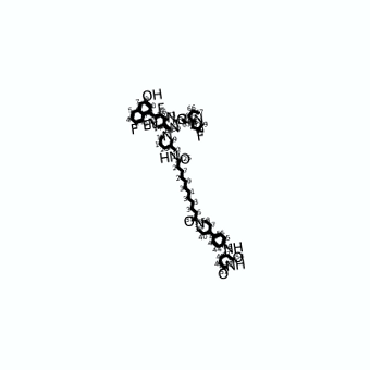 CCc1c(F)ccc2cc(O)cc(-c3ncc4c(N5CCCC(CNC(=O)CCCCCCCCCCC(=O)N6CCC(c7ccc(NC8CCC(=O)NC8=O)cc7)CC6)C5)nc(OC[C@]56CCCN5C[C@@H](F)C6)nc4c3F)c12